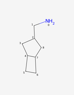 NCC1CC2CCC2C1